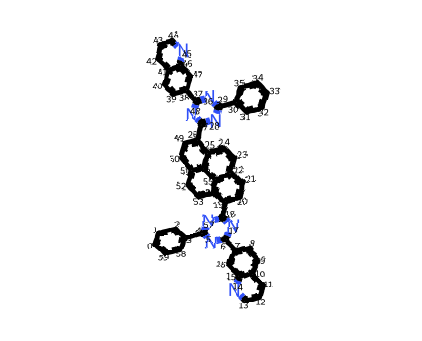 c1ccc(-c2nc(-c3ccc4cccnc4c3)nc(-c3ccc4ccc5c(-c6nc(-c7ccccc7)nc(-c7ccc8cccnc8c7)n6)ccc6ccc3c4c65)n2)cc1